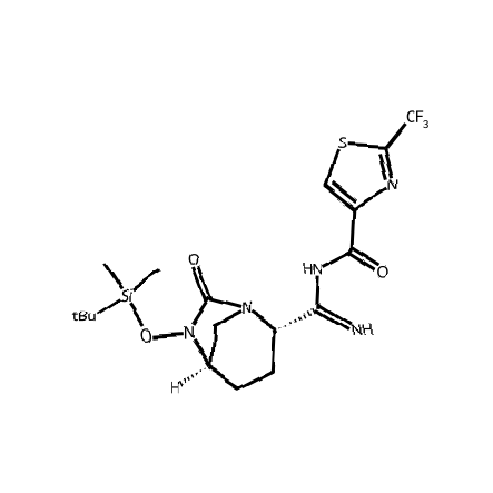 CC(C)(C)[Si](C)(C)ON1C(=O)N2C[C@H]1CC[C@H]2C(=N)NC(=O)c1csc(C(F)(F)F)n1